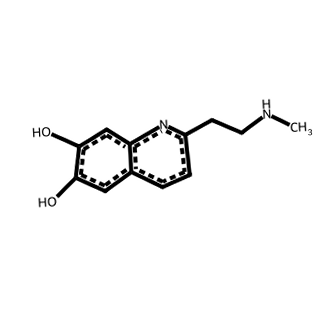 CNCCc1ccc2cc(O)c(O)cc2n1